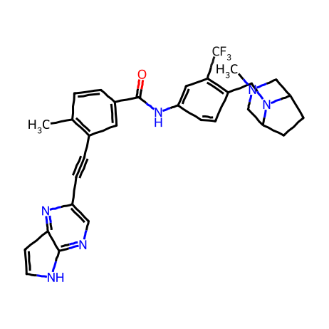 Cc1ccc(C(=O)Nc2ccc(CN3C4CCC3CN(C)C4)c(C(F)(F)F)c2)cc1C#Cc1cnc2[nH]ccc2n1